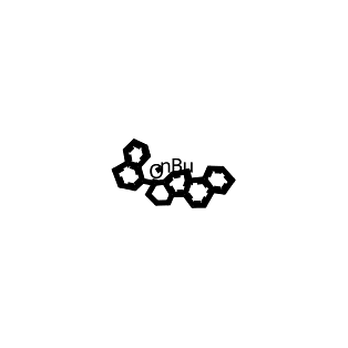 CCCCOC1(c2cccc3ccccc23)CCCc2c1ccc1c2ccc2ccccc21